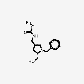 CC(C)(C)OC(=O)NCC1C[C@@H](CO)N(Cc2ccccc2)C1